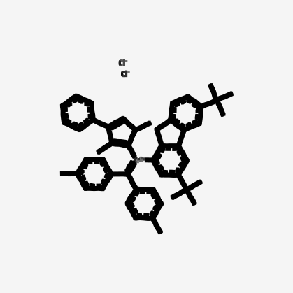 CC1=[C]([Zr+2](=[C](c2ccc(C)cc2)c2ccc(C)cc2)[c]2cc(C(C)(C)C)cc3c2Cc2ccc(C(C)(C)C)cc2-3)C(C)C=C1c1ccccc1.[Cl-].[Cl-]